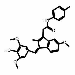 COc1ccc2c(c1)C(CC(=O)Nc1ccc(C)cc1)=C(C)C2=Cc1cc(OC)c(O)c(OC)c1